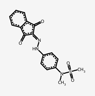 CN(c1ccc(NN=c2c(=O)c3ccccc3c2=O)cc1)S(C)(=O)=O